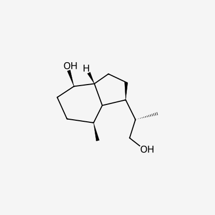 C[C@H](CO)[C@@H]1CC[C@@H]2C1[C@@H](C)CC[C@H]2O